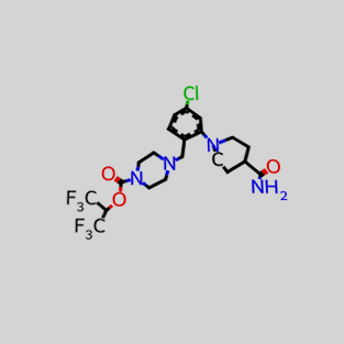 NC(=O)C1CCN(c2cc(Cl)ccc2CN2CCN(C(=O)OC(C(F)(F)F)C(F)(F)F)CC2)CC1